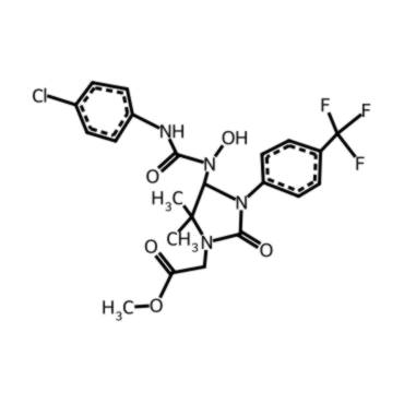 COC(=O)CN1C(=O)N(c2ccc(C(F)(F)F)cc2)C(N(O)C(=O)Nc2ccc(Cl)cc2)C1(C)C